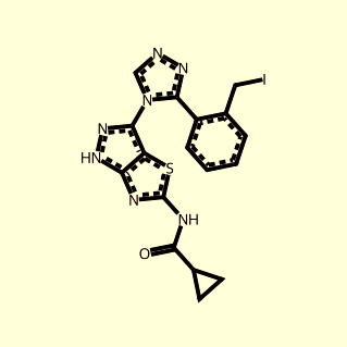 O=C(Nc1nc2[nH]nc(-n3cnnc3-c3ccccc3CI)c2s1)C1CC1